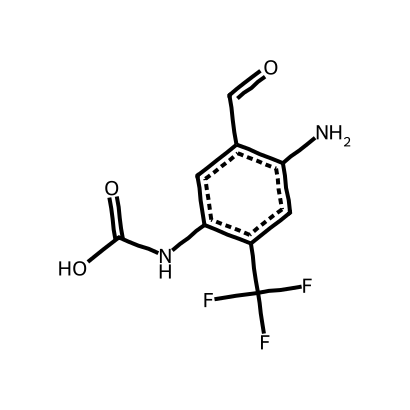 Nc1cc(C(F)(F)F)c(NC(=O)O)cc1C=O